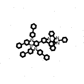 c1ccc(-c2ccc(N3c4ccc(-c5ccccc5)cc4B4c5cc(-c6ccccc6)ccc5N(c5ccc(-c6ccccc6)cc5)c5cc(-c6ccc7c(c6)c6ccccc6n7-c6ccccc6-c6cc(-c7ccccc7)nc(-c7ccccc7)n6)cc3c54)cc2)cc1